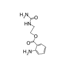 NC(=O)NCCOC(=O)c1ccccc1N